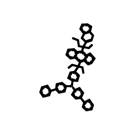 CCCC(CC)(C1=CCc2ccccc2C1)c1c2ccccc2c(C(CC)(CC)c2ccc(N(c3ccc(-c4ccccc4)cc3)c3ccc(-c4ccccc4)cc3)cc2)c2ccccc12